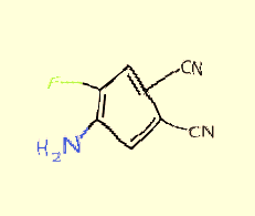 N#Cc1cc(N)c(F)cc1C#N